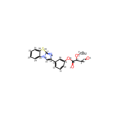 CC(C)(C)OC(C=C=O)C(=O)Oc1cccc(-c2cn3c(n2)sc2ccccc23)c1